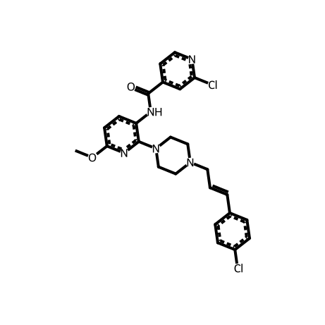 COc1ccc(NC(=O)c2ccnc(Cl)c2)c(N2CCN(CC=Cc3ccc(Cl)cc3)CC2)n1